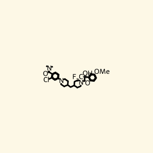 COc1cccc([C@](O)(C(=O)N2CCC(CC3CCN(c4ccc(C(=O)N(C)C)c(Cl)c4)CC3)CC2)C(F)(F)F)c1